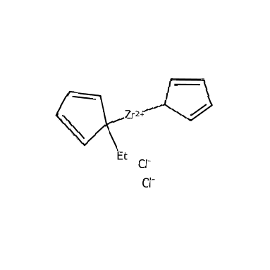 CC[C]1([Zr+2][CH]2C=CC=C2)C=CC=C1.[Cl-].[Cl-]